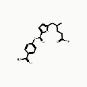 CC(CCC(=O)O)Cc1ccc(C(=O)Oc2ccc(C(=N)N)cc2)o1